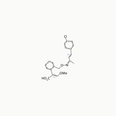 CO/C=C(/C(=O)O)c1ccccc1CON=C(C)/C=C/c1ccc(Cl)cc1